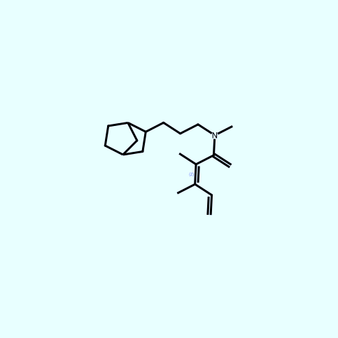 C=C/C(C)=C(/C)C(=C)N(C)CCCC1CC2CCC1C2